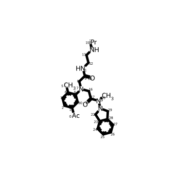 CC(=O)c1ccc(C)c(N(CC(=O)NCCNC(C)C)CC(=O)N(C)N2Cc3ccccc3C2)c1